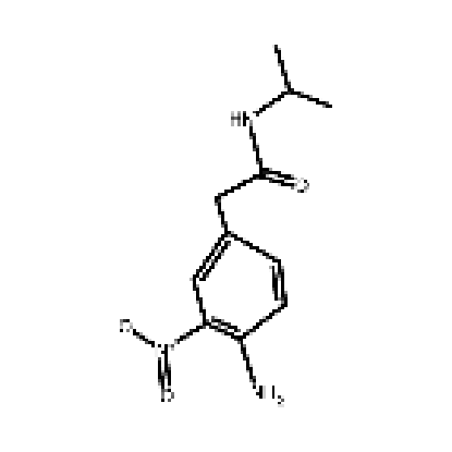 CC(C)NC(=O)Cc1ccc(N)c([N+](=O)[O-])c1